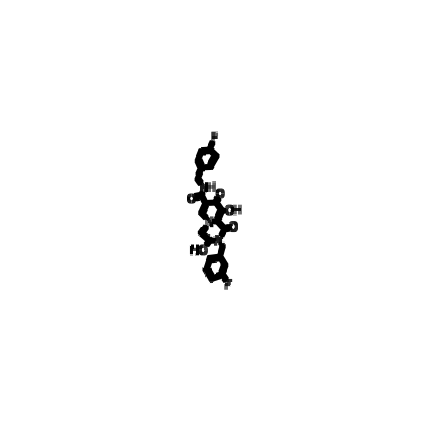 O=C(NCc1ccc(F)cc1)c1cn2c(c(O)c1=O)C(=O)N(Cc1cccc(F)c1)C(O)C2